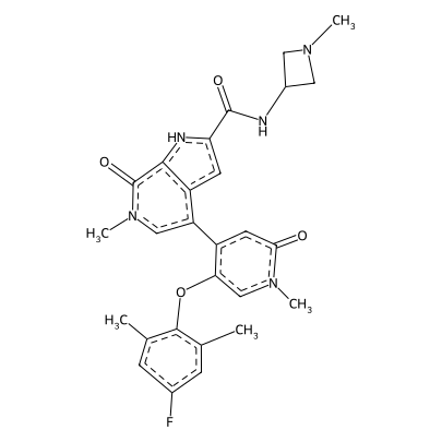 Cc1cc(F)cc(C)c1Oc1cn(C)c(=O)cc1-c1cn(C)c(=O)c2[nH]c(C(=O)NC3CN(C)C3)cc12